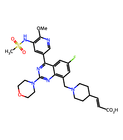 COc1ncc(-c2nc(N3CCOCC3)nc3c(CN4CCC(/C=C/C(=O)O)CC4)cc(F)cc23)cc1NS(C)(=O)=O